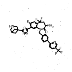 NC1CC(F)(F)c2cc(F)c(-c3nnc(C45CNCC(C4)C5)o3)cc2N(Cc2ccc(-c3ccc(C(F)(F)F)cn3)cc2)C1=O